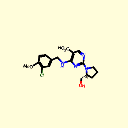 COc1ccc(CNc2nc(N3CCC[C@@H]3CO)ncc2C(=O)O)cc1Cl